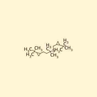 CC(C)(CCC1CC1C(C)(C)C)SCC1CC1C(C)(C)C